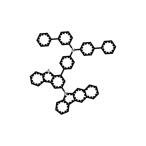 c1ccc(-c2ccc(N(c3ccc(-c4cc(-n5c6ccccc6c6cc7ccccc7cc65)cc5c4sc4ccccc45)cc3)c3cccc(-c4ccccc4)c3)cc2)cc1